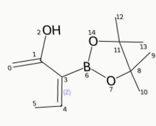 C=C(O)/C(=C\C)B1OC(C)(C)C(C)(C)O1